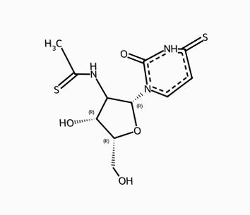 CC(=S)NC1[C@@H](O)[C@@H](CO)O[C@H]1n1ccc(=S)[nH]c1=O